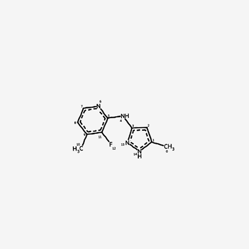 Cc1cc(Nc2nccc(C)c2F)n[nH]1